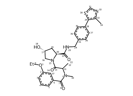 CCOc1cccc(C(=O)N(C)C(C)C(=O)N2C[C@H](O)C[C@H]2C(=O)NCc2ccc(-c3scnc3C)cc2)c1